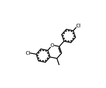 CC1C=C(c2ccc(Cl)cc2)Oc2cc(Cl)ccc21